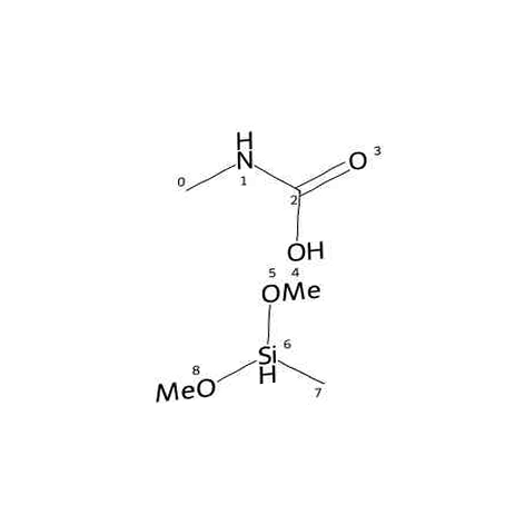 CNC(=O)O.CO[SiH](C)OC